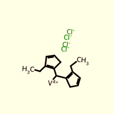 CCC1=C([CH]([V+4])C2=C(CC)C=CC2)CC=C1.[Cl-].[Cl-].[Cl-].[Cl-]